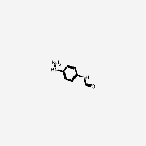 NNc1ccc(NC=O)cc1